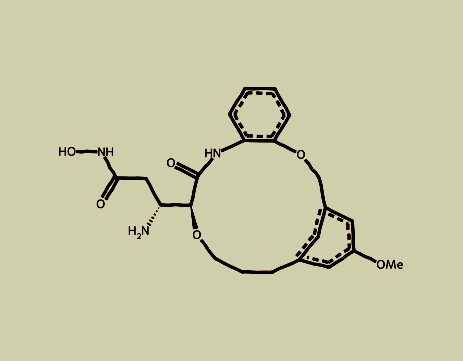 COc1cc2cc(c1)COc1ccccc1NC(=O)[C@H]([C@H](N)CC(=O)NO)OCCC2